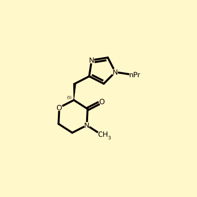 CCCn1cnc(C[C@@H]2OCCN(C)C2=O)c1